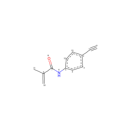 C#Cc1ccc(NC(=O)C(=C)C)cc1